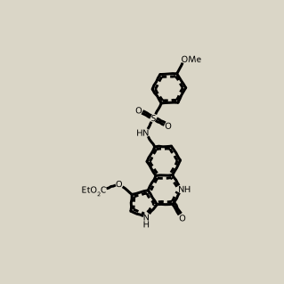 CCOC(=O)Oc1c[nH]c2c(=O)[nH]c3ccc(NS(=O)(=O)c4ccc(OC)cc4)cc3c12